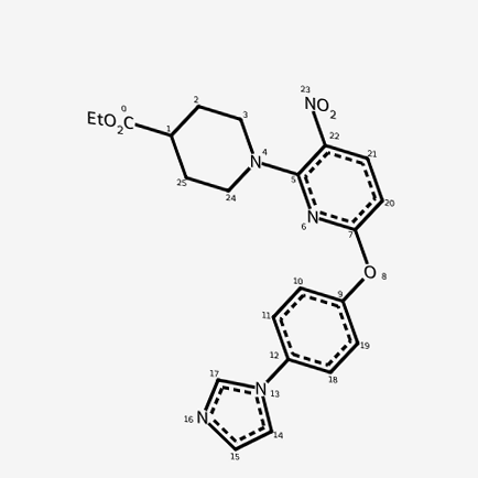 CCOC(=O)C1CCN(c2nc(Oc3ccc(-n4ccnc4)cc3)ccc2[N+](=O)[O-])CC1